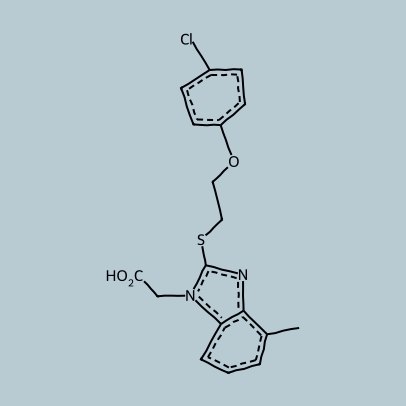 Cc1cccc2c1nc(SCCOc1ccc(Cl)cc1)n2CC(=O)O